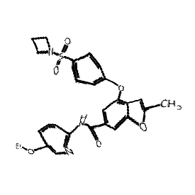 CCOc1ccc(NC(=O)c2cc(Oc3ccc(S(=O)(=O)N4CCC4)cc3)c3cc(C)oc3c2)nc1